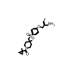 CC1(CS(=O)(=O)c2ccc(OCC(=CF)CN)cc2)CCN(C(=O)C2(C)CC2)CC1